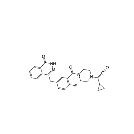 O=C=C(C1CC1)N1CCN(C(=O)c2cc(Cc3n[nH]c(=O)c4ccccc34)ccc2F)CC1